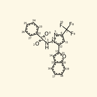 O=S(=O)(Nn1nc(C(F)(F)F)cc1-c1cc2ccccc2o1)c1ccccc1